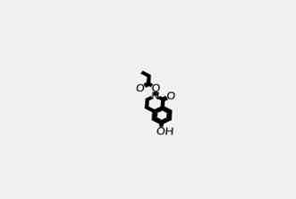 CCC(=O)ON1CCc2cc(O)ccc2C1=O